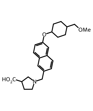 COCC1CCC(Oc2ccc3cc(CN4CCC(C(=O)O)C4)ccc3c2)CC1